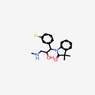 CNCC(O)C(c1cccc(F)c1)N1C(=O)C(C)(C)c2ccccc21